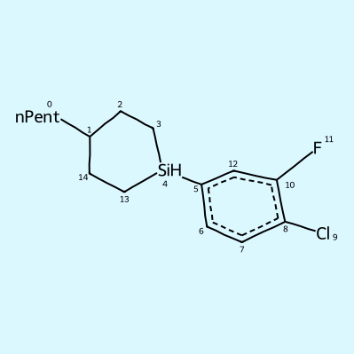 CCCCCC1CC[SiH](c2ccc(Cl)c(F)c2)CC1